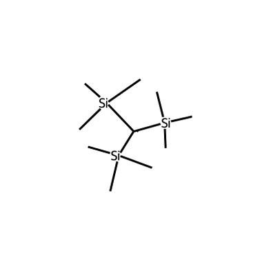 C[Si](C)(C)[C]([Si](C)(C)C)[Si](C)(C)C